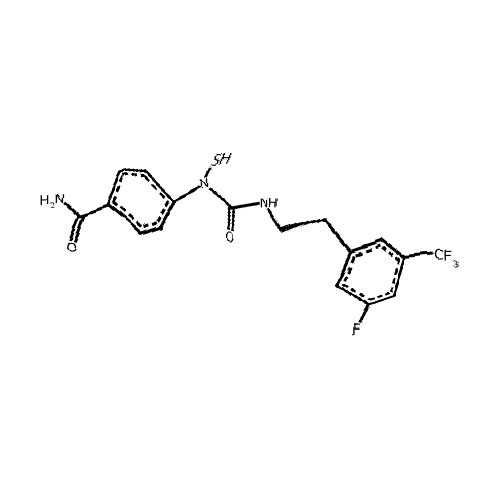 NC(=O)c1ccc(N(S)C(=O)NCCc2cc(F)cc(C(F)(F)F)c2)cc1